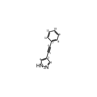 C(#Cc1cn[nH]c1)c1ccccc1